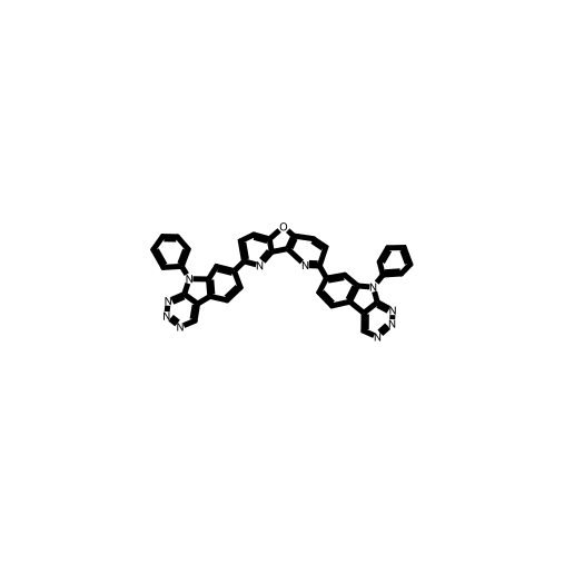 c1ccc(-n2c3cc(-c4ccc5oc6ccc(-c7ccc8c9cnnnc9n(-c9ccccc9)c8c7)nc6c5n4)ccc3c3cnnnc32)cc1